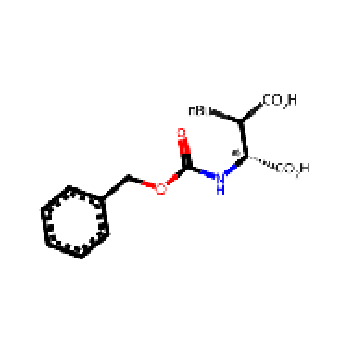 CCCCC(C(=O)O)[C@@H](NC(=O)OCc1ccccc1)C(=O)O